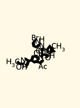 CC(=O)c1cn(CC(=O)N2[C@H](C(=O)Nc3nc(Br)ccc3C)C[C@@]3(C)C[C@@H]23)c2c(C)cc(-c3cnc(C(C)O)nc3)cc12